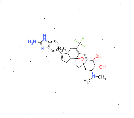 CN(C)[C@H]1C[C@@]23CC[C@@]4(O2)C(=C(C(F)(F)F)C[C@]2(C)C(c5ccc6[nH]c(N)nc6c5)=CCC24)C=C3[C@@H](O)[C@@H]1O